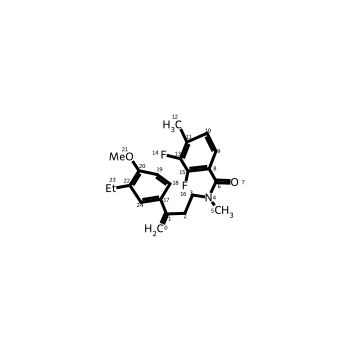 C=C(CCN(C)C(=O)c1ccc(C)c(F)c1F)c1ccc(OC)c(CC)c1